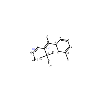 CC/N=C\C(=C(/C)C1C=CC=C(C)C1)C(C)(C)F